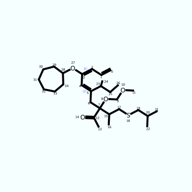 C=C/C=C(\C=C(\CC(OCOC)(C(C)=O)C(C)CSCC(C)C)C(C)CC)OC1CCCCCC1